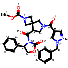 CC(C)(C)OC(=O)N1CC2(C1)CN(C(=O)c1cnn(Cc3ccccc3)c1)CC2C(=O)N1C(=O)OCC1c1ccccc1